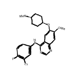 CN[C@H]1CC[C@@H](Oc2cc3c(Nc4ccc(F)c(Cl)c4)ncnc3cc2OC)CC1